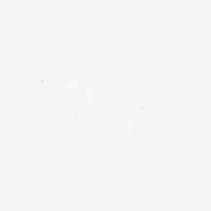 COC(=O)C(C)NC(=O)CCC(=O)N1CCCCCC1